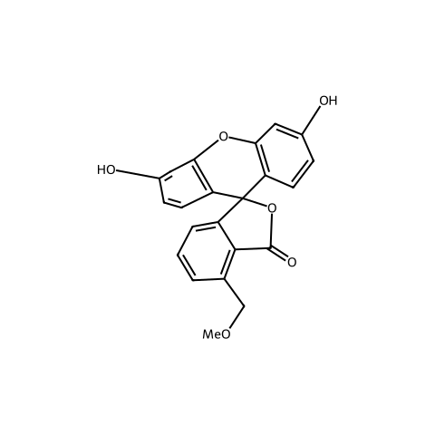 COCc1cccc2c1C(=O)OC21c2ccc(O)cc2Oc2cc(O)ccc21